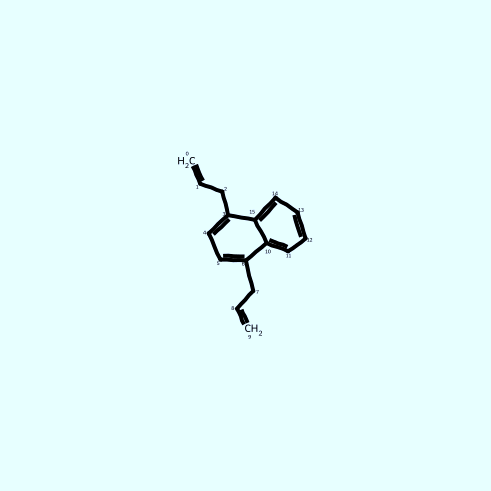 C=CCc1ccc(CC=C)c2ccccc12